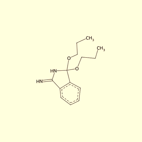 CCCOC1(OCCC)NC(=N)c2ccccc21